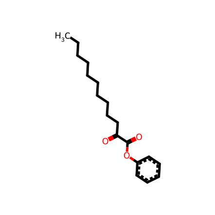 CCCCCCCCCCC(=O)C(=O)Oc1ccccc1